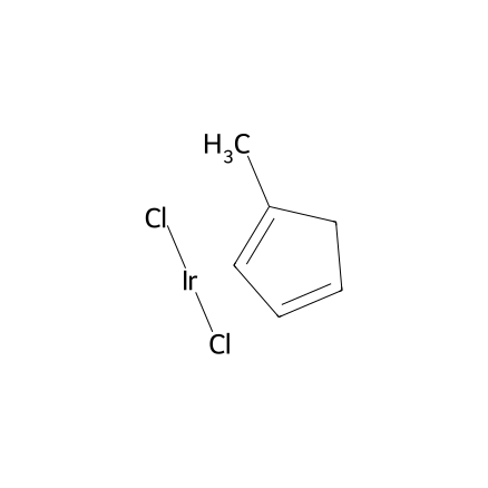 CC1=CC=CC1.[Cl][Ir][Cl]